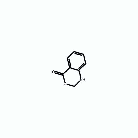 O=C1OCNc2ccccc21